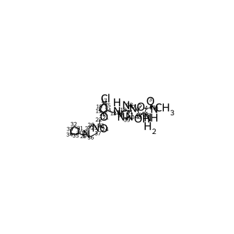 CNC(=O)[C@@H]1O[C@@H](n2cnc3c(NCc4cc(Cl)ccc4OCC(=O)N4CCN(Cc5ccccc5)CC4)ncnc32)[C@H](O)[C@H]1N